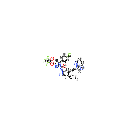 Cc1ccc(NC(=O)N2N=C(OC(=O)C(F)(F)F)CC2c2ccc(F)cc2)cc1C#Cc1cnc2cccnn12